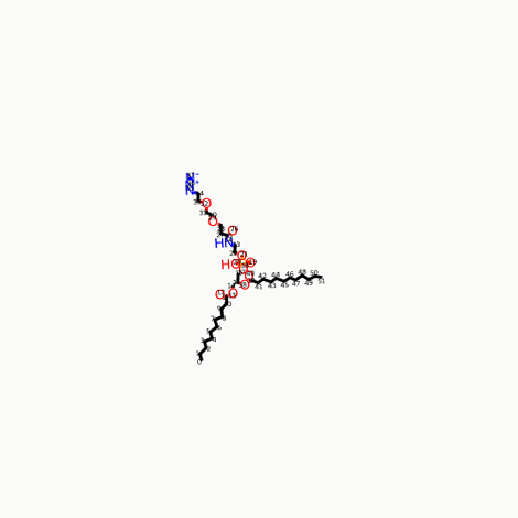 CCCCCCCCCCCC(=O)OC[C@H](COP(=O)(O)OCCNC(=O)CCOCCOCCN=[N+]=[N-])OC(=O)CCCCCCCCCCC